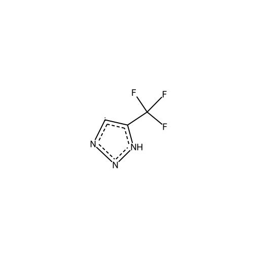 FC(F)(F)c1[c]nn[nH]1